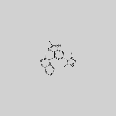 Cc1nc2c(-c3c(C)ccc4ccccc34)cc(-c3c(C)noc3C)cc2[nH]1